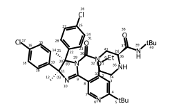 CCOc1cc(C(C)(C)C)ncc1C1=N[C@@](C)(c2ccc(Cl)cc2)[C@@](C)(c2ccc(Cl)cc2)N1C(=O)N1CCN[C@H](C(=O)NC(C)(C)C)C1